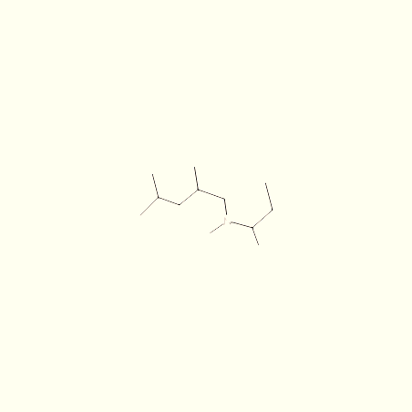 CCC(C)N(C)CC(C)CC(C)C